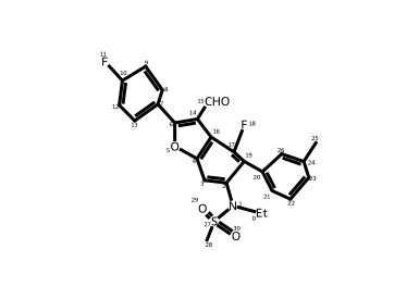 CCN(c1cc2oc(-c3ccc(F)cc3)c(C=O)c2c(F)c1-c1cccc(C)c1)S(C)(=O)=O